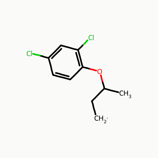 [CH2]CC(C)Oc1ccc(Cl)cc1Cl